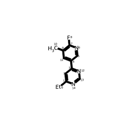 CCc1cc(-c2cnc(F)c(C)c2)ncn1